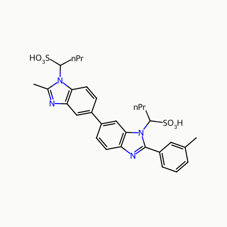 CCCC(n1c(C)nc2cc(-c3ccc4nc(-c5cccc(C)c5)n(C(CCC)S(=O)(=O)O)c4c3)ccc21)S(=O)(=O)O